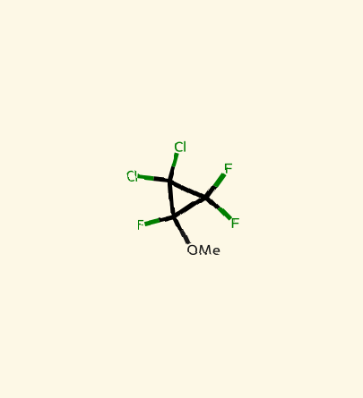 COC1(F)C(F)(F)C1(Cl)Cl